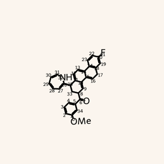 COc1cccc(C(=O)C2C=c3c(ccc4c3=CCc3cc(F)ccc3-4)C(C3=CC=CC=CN3)C2)c1